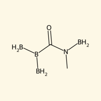 BB(B)C(=O)N(B)C